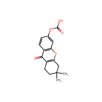 CC1(C)CCc2c(sc3cc(OC(=O)O)ccc3c2=O)C1